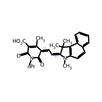 CCCN1C(=O)C(C(=O)O)=C(C)/C(=C/C=C2/N(C)c3ccc4ccccc4c3C2(C)C)C1=O